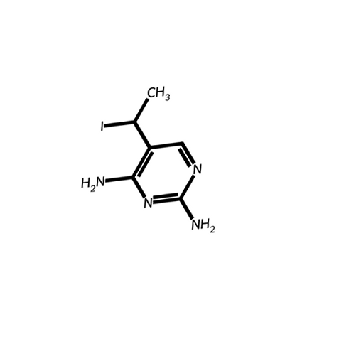 CC(I)c1cnc(N)nc1N